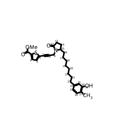 COC(=O)c1ccc(C#CCN2C(=O)CCC2CCCCCCCCc2ccc(C)c(O)c2)s1